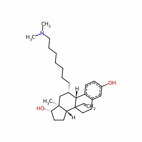 C=CC12CCc3cc(O)ccc3[C@H]1[C@@H](CCCCCCCN(C)C)C[C@]1(C)[C@@H](O)CC[C@@H]21